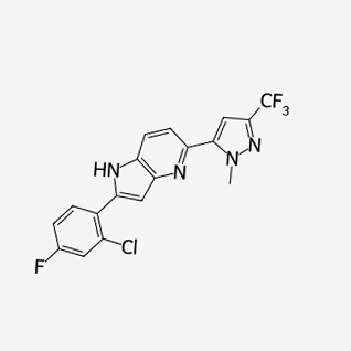 Cn1nc(C(F)(F)F)cc1-c1ccc2[nH]c(-c3ccc(F)cc3Cl)cc2n1